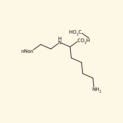 CC(=O)O.CCCCCCCCCCCNC(CCCCN)C(=O)O